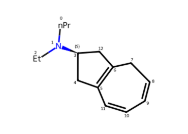 CCCN(CC)[C@@H]1CC2=C(CC=CC=C2)C1